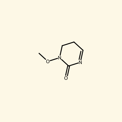 CON1CCC=NC1=O